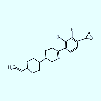 C=CC1CCC(C2CC=C(c3ccc(C4CO4)c(F)c3Cl)CC2)CC1